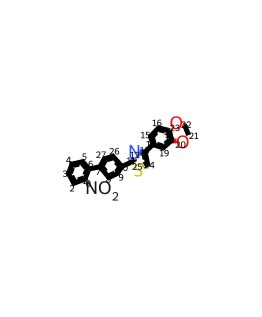 O=[N+]([O-])c1ccccc1-c1ccc(-c2nc(-c3ccc4c(c3)OCCO4)cs2)cc1